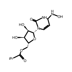 CC(C)C(=O)OC[C@H]1O[C@@H](N2C=CC(NO)NC2=O)[C@H](O)[C@@H]1O